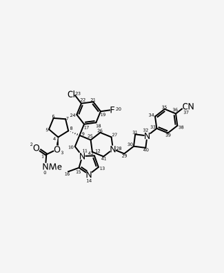 CNC(=O)O[C@H]1CCC[C@@H]1C(Cn1ccnc1C)(c1cc(F)cc(Cl)c1)C1CCN(CC2CN(c3ccc(C#N)cc3)C2)CC1